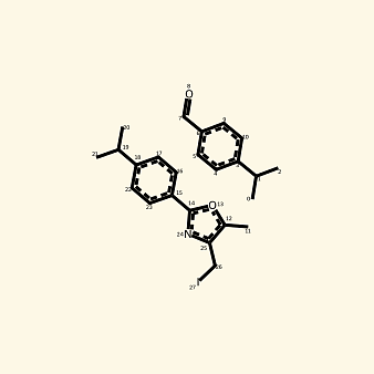 CC(C)c1ccc(C=O)cc1.Cc1oc(-c2ccc(C(C)C)cc2)nc1CI